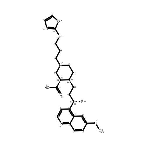 COc1ccc2nccc([C@@H](F)CC[C@@H]3CCN(CCCSc4ncco4)C[C@@H]3C(=O)O)c2c1